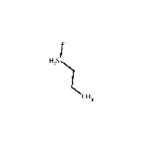 CCC[SiH2]F